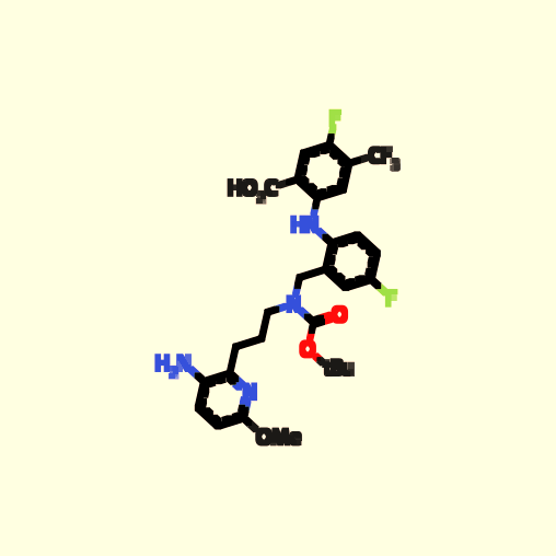 COc1ccc(N)c(CCCN(Cc2cc(F)ccc2Nc2cc(C(F)(F)F)c(F)cc2C(=O)O)C(=O)OC(C)(C)C)n1